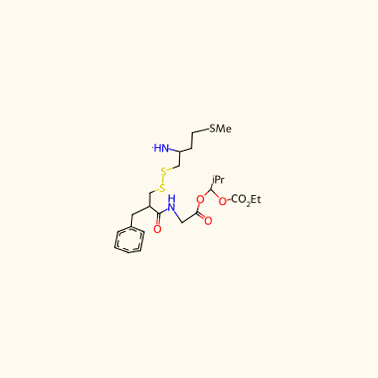 CCOC(=O)OC(OC(=O)CNC(=O)C(CSSCC([NH])CCSC)Cc1ccccc1)C(C)C